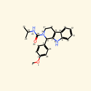 COc1ccc(C2c3[nH]c4ccccc4c3CCN2C(=O)NC(C)C)cc1